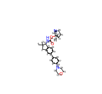 CC1(C)Cc2cc(-c3ccc(N4CCOCC4)cc3)ccc2C1NC(=O)O[C@H]1CN2CCC1CC2